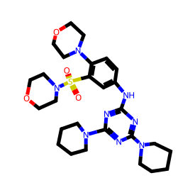 O=S(=O)(c1cc(Nc2nc(N3CCCCC3)nc(N3CCCCC3)n2)ccc1N1CCOCC1)N1CCOCC1